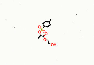 C=C(OS(=O)(=O)c1ccc(C)cc1)C(=O)OCCO